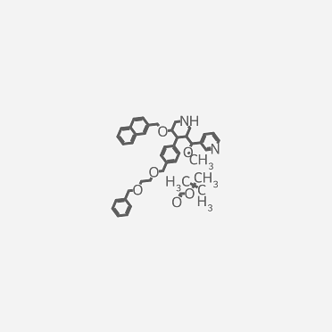 CC(C)(C)OC=O.COC(c1cccnc1)C1CNCC(OCc2ccc3ccccc3c2)C1c1ccc(COCCOCc2ccccc2)cc1